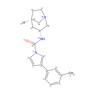 Cc1cccc(-c2ccn(C(=O)N[C@@H]3C[C@H]4CCN(C4)C3)c2)c1